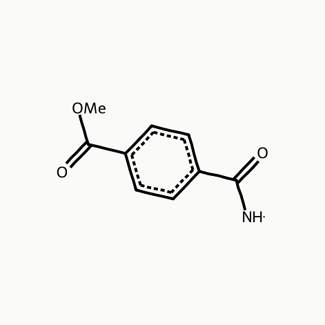 COC(=O)c1ccc(C([NH])=O)cc1